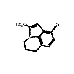 CCOC(=O)c1cc2c(Cl)ccc3c2n1CCC3